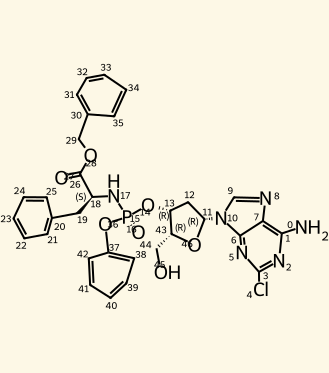 Nc1nc(Cl)nc2c1ncn2[C@H]1C[C@@H](OP(=O)(N[C@@H](Cc2ccccc2)C(=O)OCc2ccccc2)Oc2ccccc2)[C@@H](CO)O1